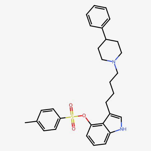 Cc1ccc(S(=O)(=O)Oc2cccc3[nH]cc(CCCCN4CCC(c5ccccc5)CC4)c23)cc1